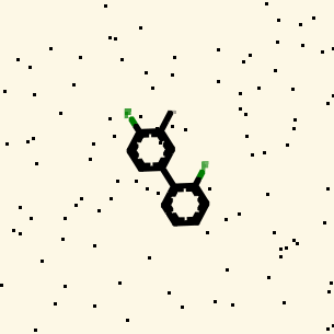 [CH2]c1cc(-c2ccccc2F)ccc1F